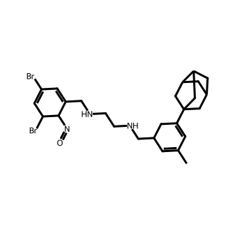 CC1=CC(CNCCNCC2=CC(Br)=CC(Br)C2N=O)CC(C23CC4CC(C2)C(C4)C3)=C1